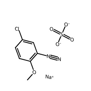 COc1ccc(Cl)cc1[N+]#N.O=S(=O)([O-])[O-].[Na+]